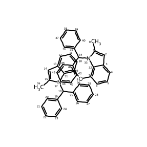 Cc1cc2cccc(Oc3cccc4cc(C)n(C(c5ccccc5)c5ccccc5)c34)c2n1C(c1ccccc1)c1ccccc1